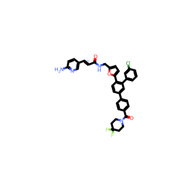 Nc1ccc(/C=C/C(=O)NCc2ccc(-c3ccc(-c4ccc(C(=O)N5CCC(F)(F)CC5)cc4)cc3-c3cccc(Cl)c3)o2)cn1